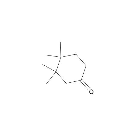 CC1(C)CCC(=O)CC1(C)C